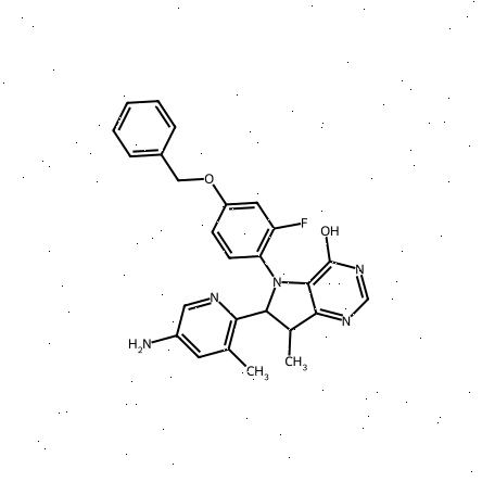 Cc1cc(N)cnc1C1C(C)c2ncnc(O)c2N1c1ccc(OCc2ccccc2)cc1F